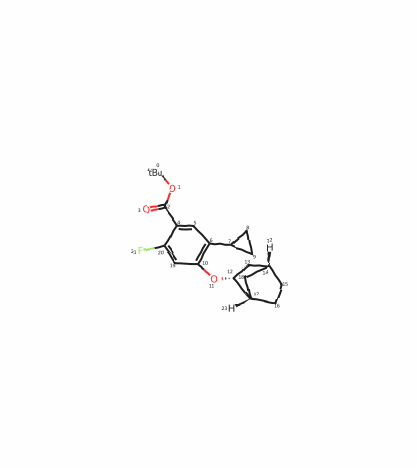 CC(C)(C)OC(=O)c1cc(C2CC2)c(O[C@@H]2C[C@@H]3CC[C@H]2C3)cc1F